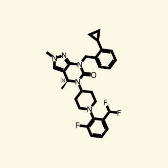 C[C@H]1c2cn(C)nc2N(Cc2ccccc2C2CC2)C(=O)N1C1CCN(c2c(F)cccc2C(F)F)CC1